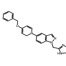 C1=CN(c2ccc3c(cnn3CC3=NCCN3)c2)CC=C1OCc1ccccc1